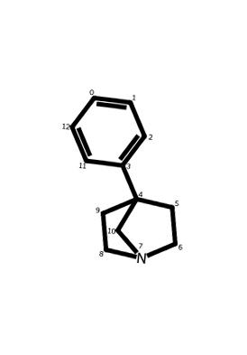 c1ccc(C23CCN(CC2)C3)cc1